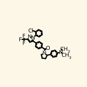 CN(C)c1ccc(C2CCCN2C(=O)c2ccc(-c3cc(C(F)(F)F)nn3-c3ccccc3Cl)cc2)cc1